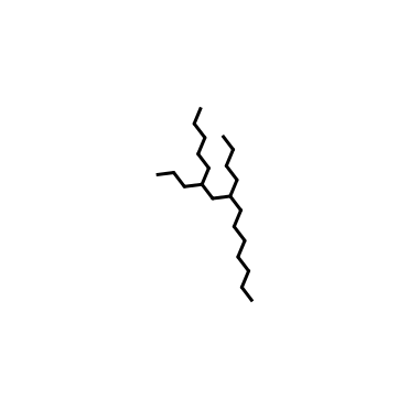 CCCCCCCC(CCCC)CC(CCC)CCCCC